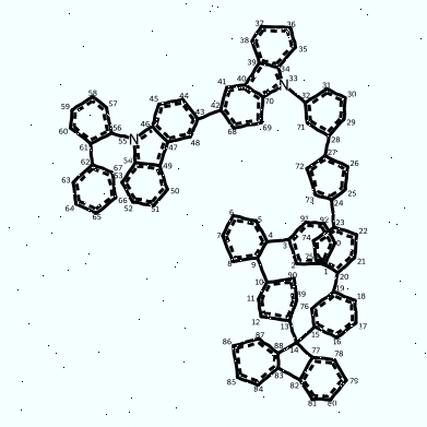 c1ccc(-c2ccccc2-c2ccc(C3(c4cccc(-c5ccc(-c6ccc(-c7cccc(-n8c9ccccc9c9cc(-c%10ccc%11c(c%10)c%10ccccc%10n%11-c%10ccccc%10-c%10ccccc%10)ccc98)c7)cc6)cc5)c4)c4ccccc4-c4ccccc43)cc2)cc1